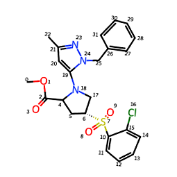 COC(=O)C1C[C@@H](S(=O)(=O)c2ccccc2Cl)CN1c1cc(C)nn1Cc1ccccc1